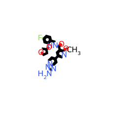 COc1ncc(-c2ccn3nc(N)nc3c2)cc1C(=O)NCc1ccc(F)cc1OC1CCOC1